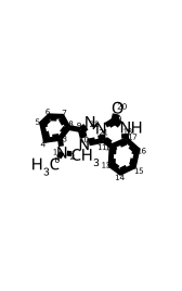 CN(C)c1ccccc1-c1nc2c3ccccc3[nH]c(=O)n2n1